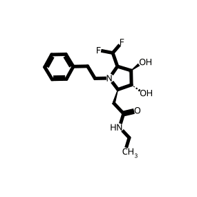 CCNC(=O)C[C@@H]1[C@@H](O)[C@H](O)C(C(F)F)N1CCc1ccccc1